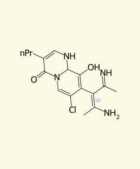 CCCC1=CNC2C(O)=C(/C(C(C)=N)=C(\C)N)C(Cl)=CN2C1=O